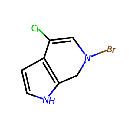 ClC1=CN(Br)Cc2[nH]ccc21